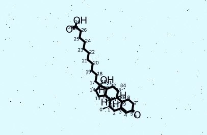 C[C@@H]1CC2=CC(=O)CC[C@@H]2[C@@H]2[C@@H]1[C@@H]1CC[C@@](O)(CCCCCCCCCCC(=O)O)[C@@]1(C)C[C@@H]2C